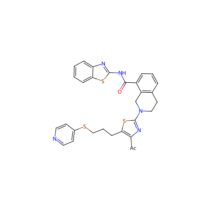 CC(=O)c1nc(N2CCc3cccc(C(=O)Nc4nc5ccccc5s4)c3C2)sc1CCCSc1ccncc1